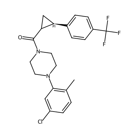 Cc1ccc(Cl)cc1N1CCN(C(=O)C2C[C@H]2c2ccc(C(F)(F)F)cc2)CC1